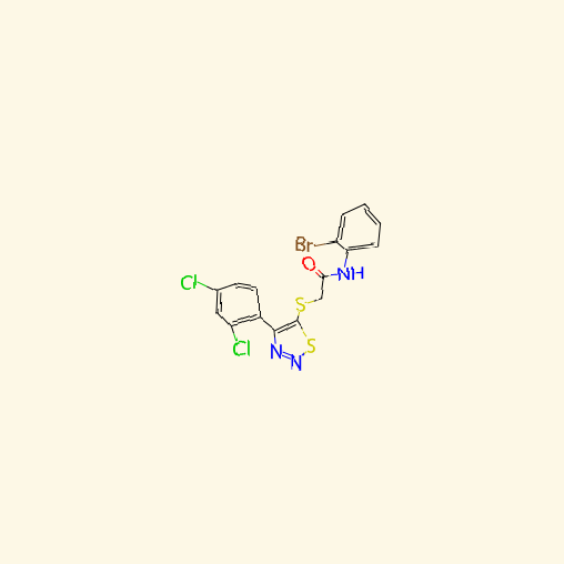 O=C(CSc1snnc1-c1ccc(Cl)cc1Cl)Nc1ccccc1Br